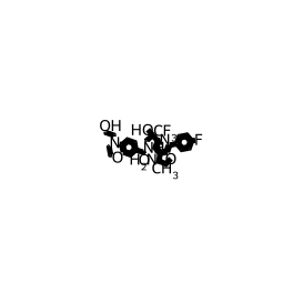 CC1(N)COc2c1cc(C(O)(CNC(=O)c1ccc3c(c1)OCCN3CCO)C(F)(F)F)nc2-c1ccc(F)cc1